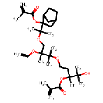 C=COC(C)(COC(C)(C(F)(F)F)C1(OC(=O)C(=C)C)CC2CCC1C2)C(OCCC(CC)(OC(=O)C(=C)C)C(O)(C(F)(F)F)C(F)(F)F)(C(F)(F)F)C(F)(F)F